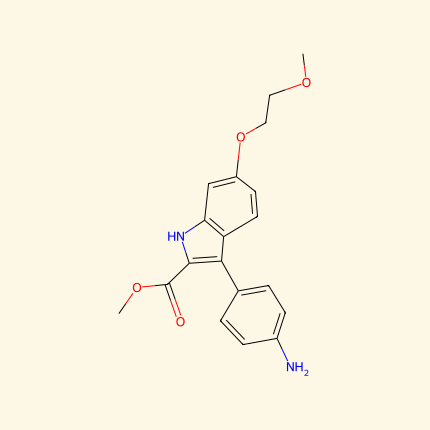 COCCOc1ccc2c(-c3ccc(N)cc3)c(C(=O)OC)[nH]c2c1